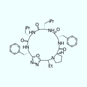 CCC1c2nnc(o2)[C@H](Cc2ccccc2)NC(=O)[C@H](CC(C)C)NC(=O)[C@H](CC(C)C)NC(=O)[C@H](Cc2ccccc2)NC(=O)[C@@H]2CCCN12